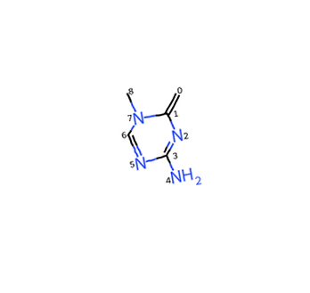 C=C1N=C(N)N=CN1C